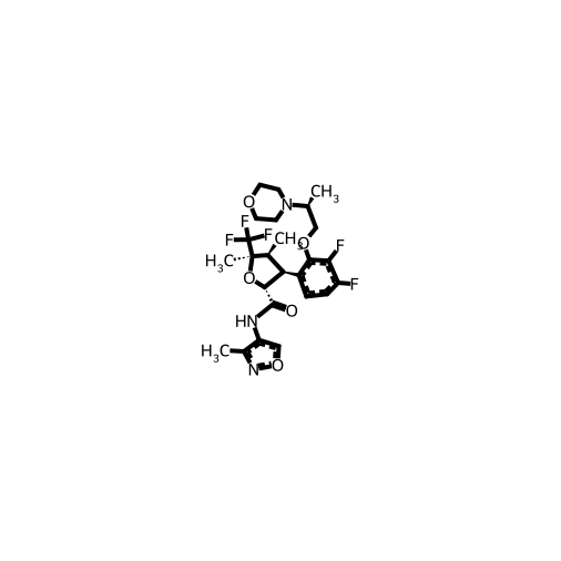 Cc1nocc1NC(=O)[C@@H]1O[C@@](C)(C(F)(F)F)[C@@H](C)[C@H]1c1ccc(F)c(F)c1OC[C@H](C)N1CCOCC1